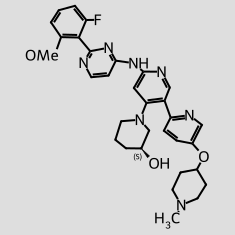 COc1cccc(F)c1-c1nccc(Nc2cc(N3CCC[C@H](O)C3)c(-c3ccc(OC4CCN(C)CC4)cn3)cn2)n1